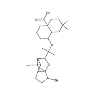 CC1C2COC3(OC2C(C)(C)OC2CCCC4(C(=O)O)CCC(C)(C)CC24)C(O)CCC13